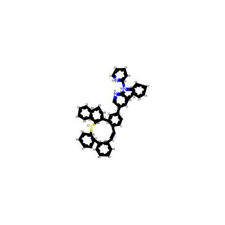 C1=C\c2ccc(-c3cnc4c(c3)c3ccccc3n4-c3ccccn3)cc2-c2ccc3ccccc3c2Sc2ccccc2-c2ccccc2/1